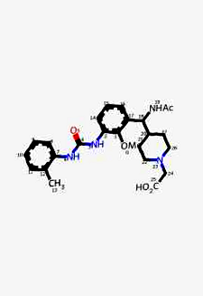 COc1c(NC(=O)Nc2ccccc2C)cccc1C(NC(C)=O)C1CCN(CC(=O)O)CC1